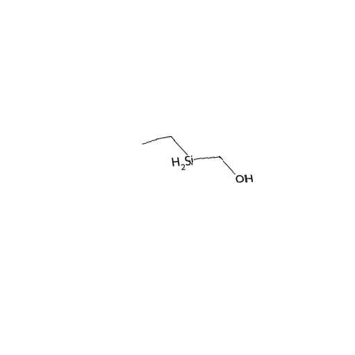 CC[SiH2]CO